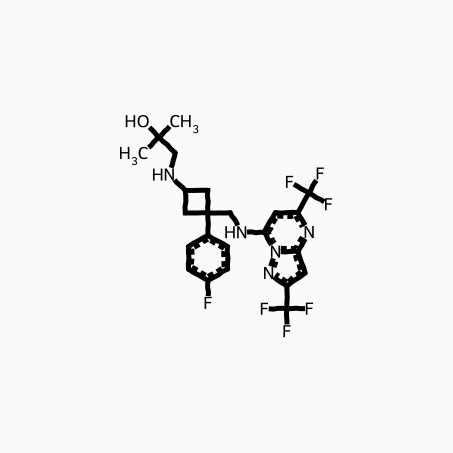 CC(C)(O)CNC1CC(CNc2cc(C(F)(F)F)nc3cc(C(F)(F)F)nn23)(c2ccc(F)cc2)C1